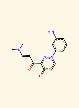 CN(C)/C=C/C(=O)c1nn(-c2cccc(N)c2)ccc1=O